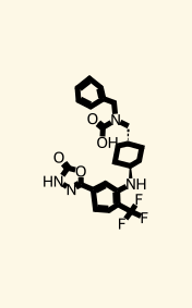 O=C(O)N(Cc1ccccc1)C[C@H]1CC[C@H](Nc2cc(-c3n[nH]c(=O)o3)ccc2C(F)(F)F)CC1